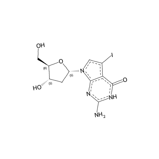 Nc1nc2c(c(I)cn2[C@@H]2C[C@H](O)[C@@H](CO)O2)c(=O)[nH]1